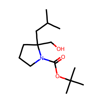 CC(C)CC1(CO)CCCN1C(=O)OC(C)(C)C